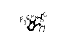 O=C(CCl)Nc1c(CCl)cccc1C(F)(F)F